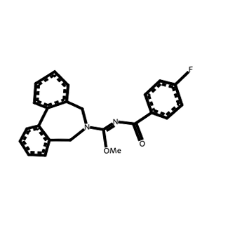 COC(=NC(=O)c1ccc(F)cc1)N1Cc2ccccc2-c2ccccc2C1